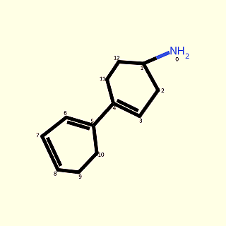 NC1CC=C(C2=CC=CC[CH]2)CC1